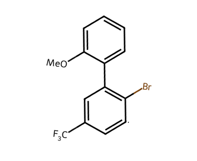 COc1ccccc1-c1cc(C(F)(F)F)c[c]c1Br